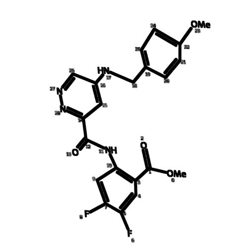 COC(=O)c1cc(F)c(F)cc1NC(=O)c1cc(NCc2ccc(OC)cc2)cnn1